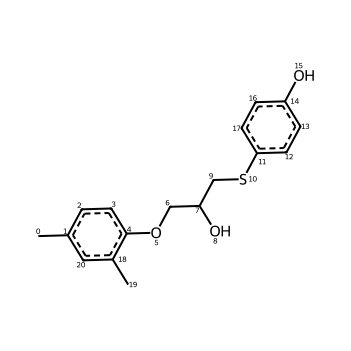 Cc1ccc(OCC(O)CSc2ccc(O)cc2)c(C)c1